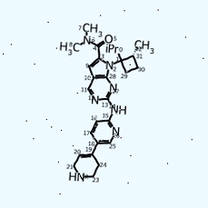 CC(C)C1(n2c(C(=O)N(C)C)cc3cnc(Nc4ccc(C5=CCNCC5)cn4)nc32)CC[C@H]1C